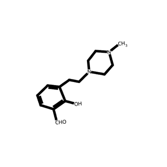 CN1CCN(CCc2cccc(C=O)c2O)CC1